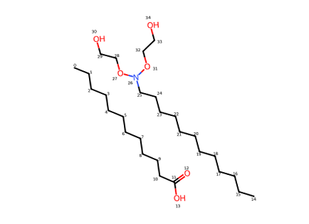 CCCCCCCCCCCC(=O)O.CCCCCCCCCCCCN(OCCO)OCCO